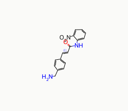 NCc1ccc(/C=C/C(=O)Nc2ccccc2[N+](=O)[O-])cc1